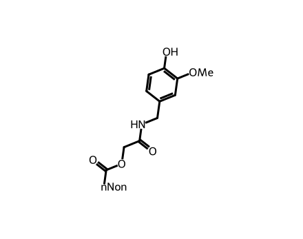 CCCCCCCCCC(=O)OCC(=O)NCc1ccc(O)c(OC)c1